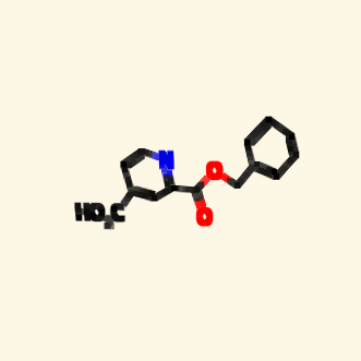 O=C(O)c1ccnc(C(=O)OCc2ccccc2)c1